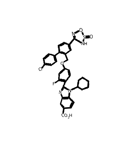 O=C(O)c1ccc2c(c1)nc(-c1ccc(OCc3cc(C4=NOS(=O)N4)ccc3-c3ccc(Cl)cc3)cc1F)n2C1CCCCC1